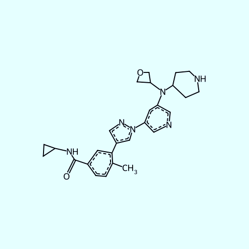 Cc1ccc(C(=O)NC2CC2)cc1-c1cnn(-c2cncc(N(C3CCNCC3)C3COC3)c2)c1